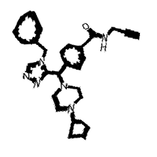 C#CCNC(=O)c1ccc(C(c2nncn2Cc2ccccc2)N2CCN(C3CCC3)CC2)cc1